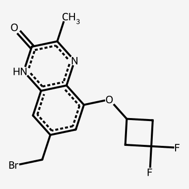 Cc1nc2c(OC3CC(F)(F)C3)cc(CBr)cc2[nH]c1=O